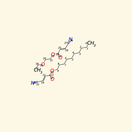 CCCCCCCCCCOC(=O)C=CC#N.CCOCCOC(=O)C=CC#N